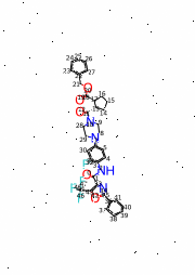 O=C(Nc1ccc(N2CCN(C(=O)[C@H]3CCC[C@@H]3C(=O)OCc3ccccc3)CC2)cc1F)c1nc(-c2ccccc2)oc1C(F)(F)F